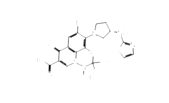 CN1n2cc(C(=O)O)c(=O)c3cc(F)c(N4CC[C@@H](Nc5nccs5)C4)c(c32)OC1(C)C